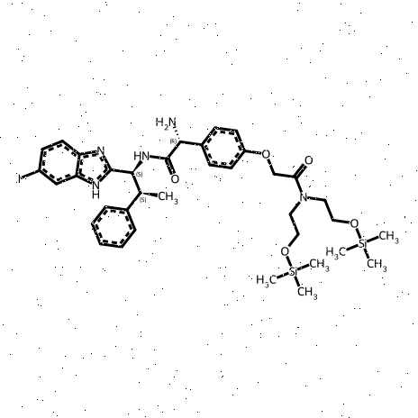 C[C@@H](c1ccccc1)[C@H](NC(=O)[C@H](N)c1ccc(OCC(=O)N(CCO[Si](C)(C)C)CCO[Si](C)(C)C)cc1)c1nc2ccc(I)cc2[nH]1